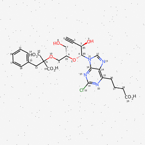 C#C[C@@H](O)[C@@H](O[C@@H](CO)COC(Cc1ccccc1)(C(=O)O)C(=O)O)n1cnc2c(CCCC(=O)O)nc(Cl)nc21